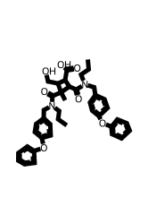 CCCN(Cc1ccc(Oc2ccccc2)cc1)C(=O)C1C(C(=O)O)C(CO)C1(C)C(=O)N(CCC)Cc1ccc(Oc2ccccc2)cc1